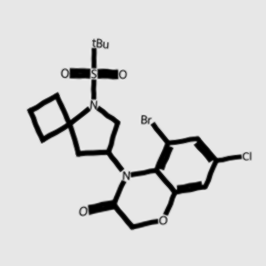 CC(C)(C)S(=O)(=O)N1CC(N2C(=O)COc3cc(Cl)cc(Br)c32)CC12CCC2